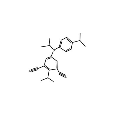 CC(C)c1ccc(N(c2cc(C#N)c(C(C)C)c(C#N)c2)C(C)C)cc1